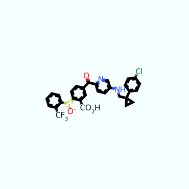 O=C(c1ccc([S+]([O-])c2ccccc2C(F)(F)F)c(C(=O)O)c1)c1ccc(NCC2(c3ccc(Cl)cc3)CC2)cn1